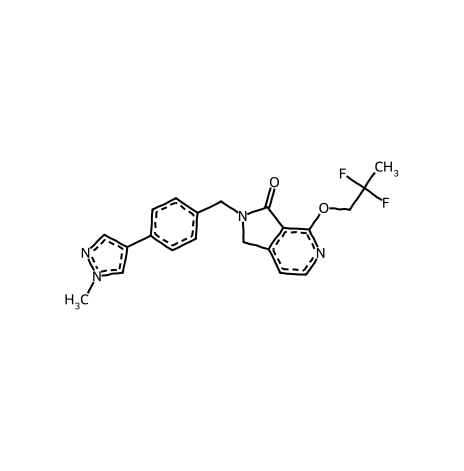 Cn1cc(-c2ccc(CN3Cc4ccnc(OCC(C)(F)F)c4C3=O)cc2)cn1